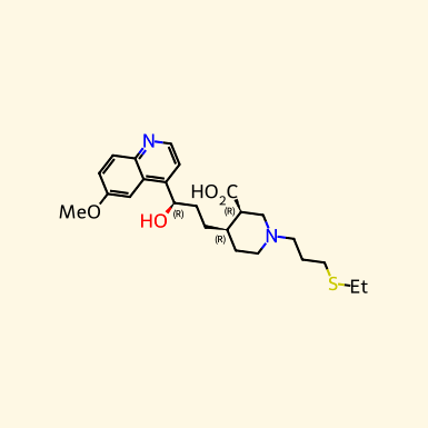 CCSCCCN1CC[C@@H](CC[C@@H](O)c2ccnc3ccc(OC)cc23)[C@@H](C(=O)O)C1